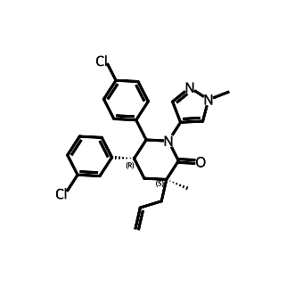 C=CC[C@@]1(C)C[C@H](c2cccc(Cl)c2)C(c2ccc(Cl)cc2)N(c2cnn(C)c2)C1=O